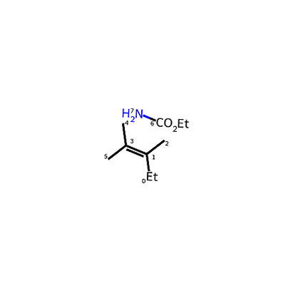 CCC(C)=C(C)C.CCOC(N)=O